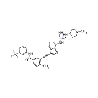 Cc1ccc(C(=O)Nc2cccc(C(F)(F)F)c2)cc1C#Cc1cnc2c(N/C(C=N)=C/NC3CCN(C)CC3)cccn12